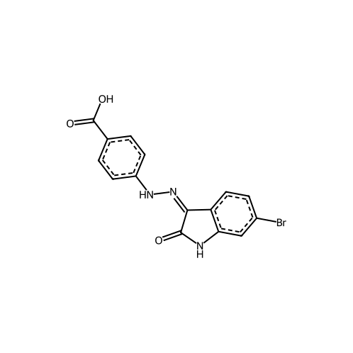 O=C1Nc2cc(Br)ccc2/C1=N/Nc1ccc(C(=O)O)cc1